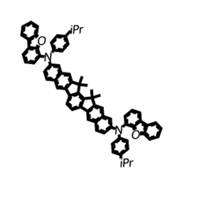 CC(C)c1ccc(N(c2ccc3cc4c(cc3c2)C(C)(C)c2c-4ccc3c2C(C)(C)c2cc4cc(N(c5ccc(C(C)C)cc5)c5cccc6c5oc5ccccc56)ccc4cc2-3)c2cccc3c2oc2ccccc23)cc1